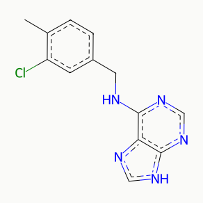 Cc1ccc(CNc2ncnc3[nH]cnc23)cc1Cl